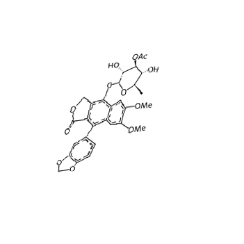 COc1cc2c(OC3O[C@H](C)[C@@H](O)[C@H](OC(C)=O)[C@H]3O)c3c(c(-c4ccc5c(c4)OCO5)c2cc1OC)C(=O)OC3